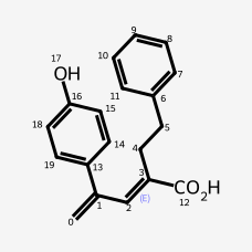 C=C(/C=C(\CCc1ccccc1)C(=O)O)c1ccc(O)cc1